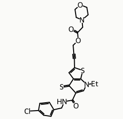 CCn1cc(C(=O)NCc2ccc(Cl)cc2)c(=S)c2cc(C#CCOC(=O)CN3CCOCC3)sc21